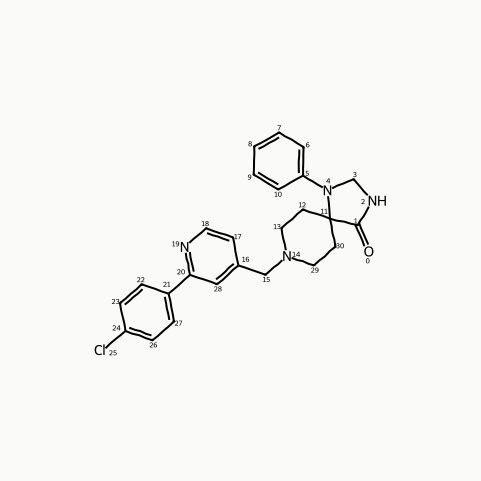 O=C1NCN(c2ccccc2)C12CCN(Cc1ccnc(-c3ccc(Cl)cc3)c1)CC2